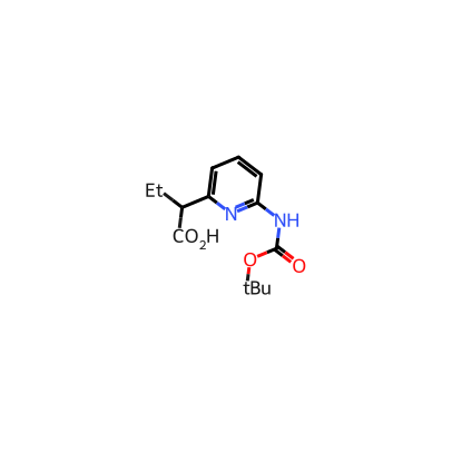 CCC(C(=O)O)c1cccc(NC(=O)OC(C)(C)C)n1